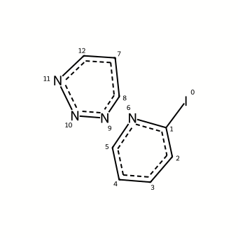 Ic1ccccn1.c1cnnnc1